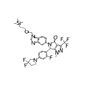 Cn1nc(C(F)(F)F)c2c1C(c1ccc(N3CCC(F)(F)C3)cc1F)N(c1ccc3c(c1)ncn3COCC[Si](C)(C)C)C2=O